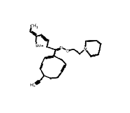 C#CC1\C=C/C=C(/C(C/C=C\C(=C/C)SC)=N\OCCN2CCCCC2)C/C=C\CC1